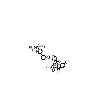 CN(C)c1ccc(-c2cccc(OC[C@@H]3CN(S(=O)(=O)c4c(C(N)=O)[nH]c5ccc(Cl)cc45)CCO3)c2)cn1